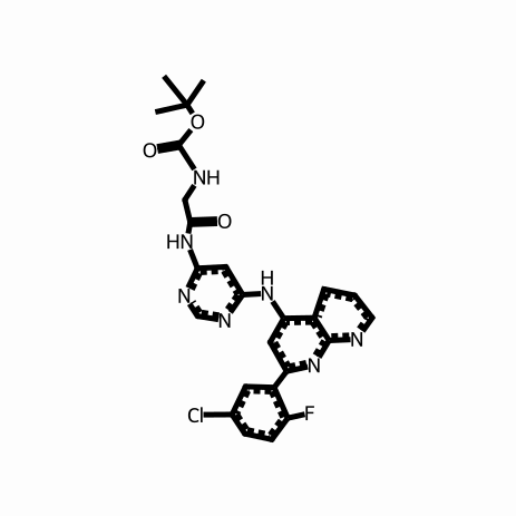 CC(C)(C)OC(=O)NCC(=O)Nc1cc(Nc2cc(-c3cc(Cl)ccc3F)nc3ncccc23)ncn1